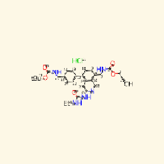 C#CCOC(=O)NCc1ccc(-c2ccc(CNC(=O)OC(C)(C)C)cc2)c2cc(NC(=O)NCC)ncc12.Cl